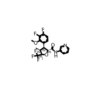 COc1c([C@H]2[C@H](C(=O)Nc3cccnc3)O[C@@](C)(C(F)(F)F)[C@H]2C)ccc(F)c1F